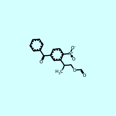 CC(COC=O)c1cc(C(=O)c2ccccc2)ccc1[N+](=O)[O-]